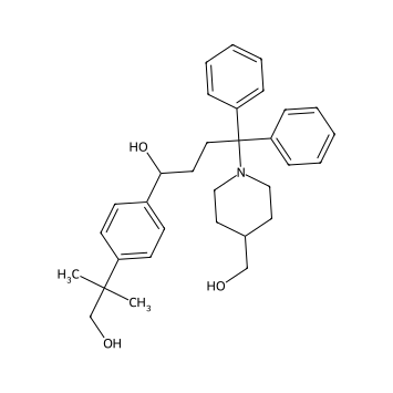 CC(C)(CO)c1ccc(C(O)CCC(c2ccccc2)(c2ccccc2)N2CCC(CO)CC2)cc1